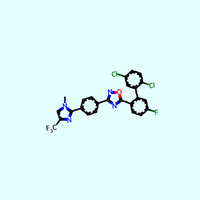 Cn1cc(C(F)(F)F)nc1-c1ccc(-c2noc(-c3ccc(F)cc3-c3cc(Cl)ccc3Cl)n2)cc1